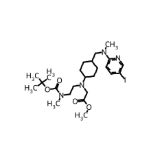 COC(=O)CN(CCN(C)C(=O)OC(C)(C)C)C1CCC(CN(C)c2ccc(I)cn2)CC1